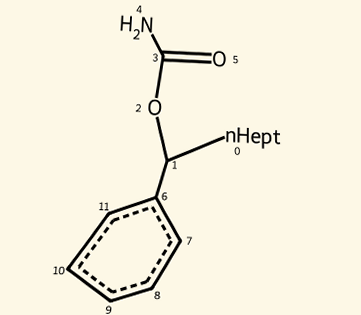 CCCCCCCC(OC(N)=O)c1ccccc1